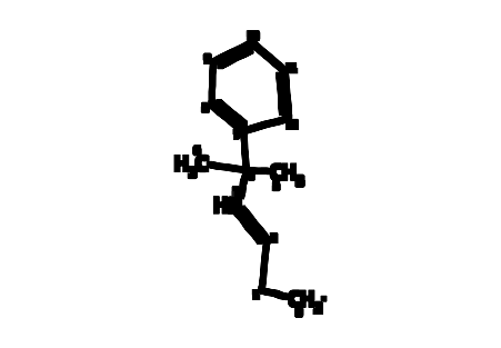 [CH2]CC=[SiH]C(C)(C)c1ccccc1